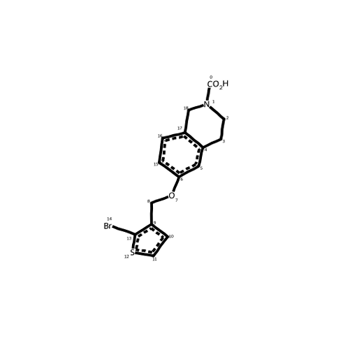 O=C(O)N1CCc2cc(OCc3ccsc3Br)ccc2C1